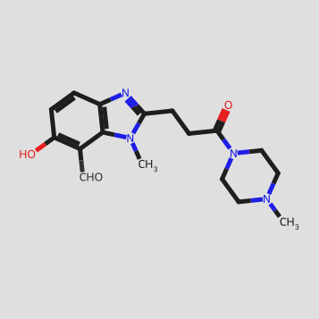 CN1CCN(C(=O)CCc2nc3ccc(O)c(C=O)c3n2C)CC1